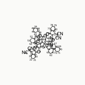 N#CC(C#N)=C1/C(=N/C2=CC3=C(c4sc5cc(/N=C6\C(=O)c7ccccc7C6=C(C#N)C#N)sc5c4C3(C(=O)OCc3ccccc3)C(=O)OCc3ccccc3)C2(C(=O)OCc2ccccc2)C(=O)OCc2ccccc2)C(=O)c2ccccc21